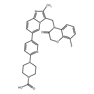 Cc1nc2ccc(-c3ccc(N4CCN(C(=O)O)CC4)nc3)cn2c1CN1C(=O)COc2c(F)cccc21